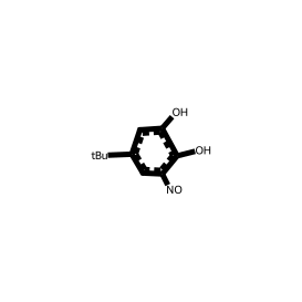 CC(C)(C)c1cc(O)c(O)c(N=O)c1